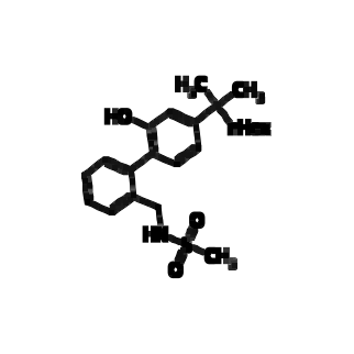 CCCCCCC(C)(C)c1ccc(-c2ccccc2CNS(C)(=O)=O)c(O)c1